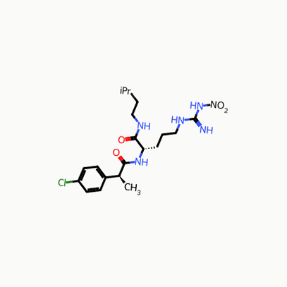 CC(C)CCNC(=O)[C@H](CCCNC(=N)N[N+](=O)[O-])NC(=O)[C@@H](C)c1ccc(Cl)cc1